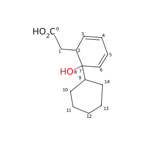 O=C(O)CC1C=CC=CC1(O)C1CCCCC1